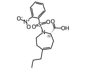 CCCC1=CC[C@@H](C(=O)O)N(S(=O)(=O)c2ccccc2[N+](=O)[O-])CC1